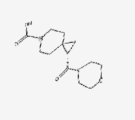 O=C(O)N1CCC2(CC1)C[C@@H]2C(=O)N1CCOCC1